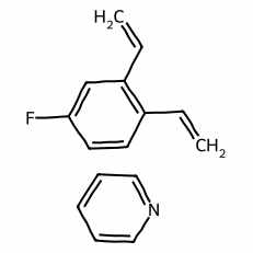 C=Cc1ccc(F)cc1C=C.c1ccncc1